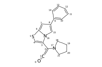 O=C=C(c1csc2cc(-c3ccccc3)cn12)N1CCCC1